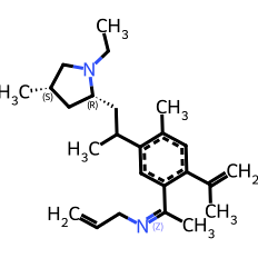 C=CC/N=C(/C)c1cc(C(C)C[C@@H]2C[C@H](C)CN2CC)c(C)cc1C(=C)C